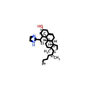 [CH2]CC(c1ncc[nH]1)C1C[C@H](O)CC2=CC[C@H]3[C@@H]4CC[C@H]([C@H](C)CCCC(C)C)[C@@]4(C)CC[C@@H]3[C@]21C